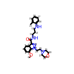 COc1cccc2c(C(=O)NCCCNc3ccccc3C)nn(CCN3CCOCC3)c12